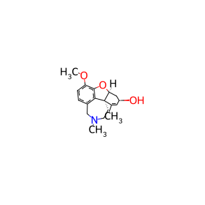 COc1ccc2c3c1O[C@H]1C[C@@H](O)C=C(C)[C@@]31CCN(C)C2